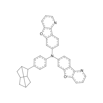 c1cnc2c(c1)oc1cc(N(c3ccc(C4C5CC6CC5CC64)cc3)c3ccc4c(c3)oc3cccnc34)ccc12